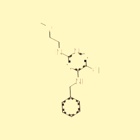 COCCNc1nnc(Cl)c(NCc2ccccc2)n1